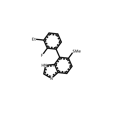 CCc1cccc(-c2c(SC)ccc3nc[nH]c23)c1F